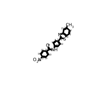 Cc1ccc2sc(-c3ccc(NC(=O)c4ccc([N+](=O)[O-])cc4)cc3)nc2c1